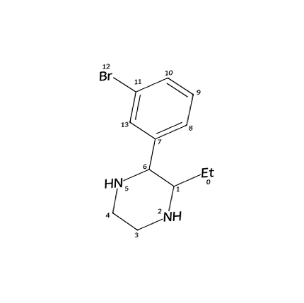 CCC1NCCNC1c1cccc(Br)c1